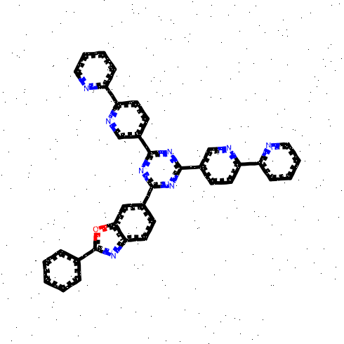 c1ccc(-c2nc3ccc(-c4nc(-c5ccc(-c6ccccn6)nc5)nc(-c5ccc(-c6ccccn6)nc5)n4)cc3o2)cc1